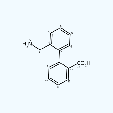 NCc1ccccc1-c1ccccc1C(=O)O